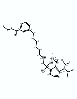 CCCC(=O)c1cccc(CCCCCCNCC(O)(O)c2cccc(N(C(C)C)C(C)C)c2C(=O)NC)c1